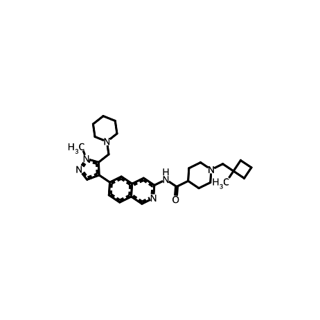 Cn1ncc(-c2ccc3cnc(NC(=O)C4CCN(CC5(C)CCC5)CC4)cc3c2)c1CN1CCCCC1